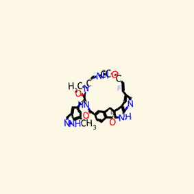 Cc1cc(C[C@H]2NC(=O)c3ccc4c(c3)C[C@]3(C4)C(=O)Nc4ncc(cc43)/C=C/COCCNCCN(C)C2=O)cc2cn[nH]c12